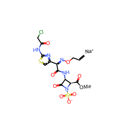 C=CCON=C(C(=O)N[C@@H]1C(=O)N(S(=O)(=O)[O-])[C@@H]1C(=O)OC)c1csc(NC(=O)CCl)n1.[Na+]